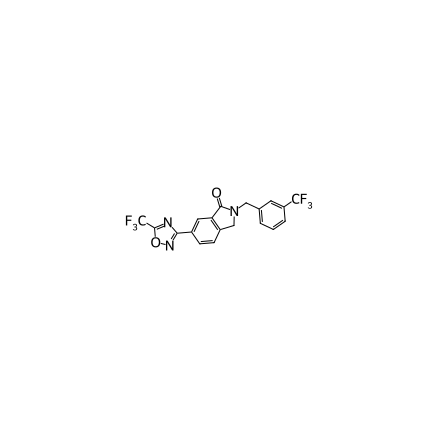 O=C1c2cc(-c3noc(C(F)(F)F)n3)ccc2CN1Cc1cccc(C(F)(F)F)c1